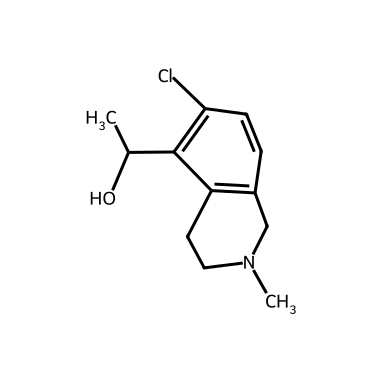 CC(O)c1c(Cl)ccc2c1CCN(C)C2